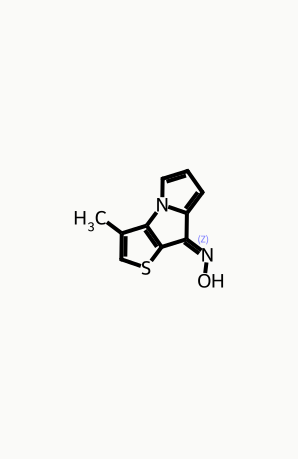 Cc1csc2c1-n1cccc1/C2=N/O